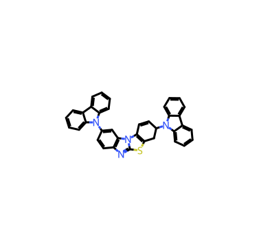 C1=CC(n2c3ccccc3c3ccccc32)Cc2sc3nc4ccc(-n5c6ccccc6c6ccccc65)cc4n3c21